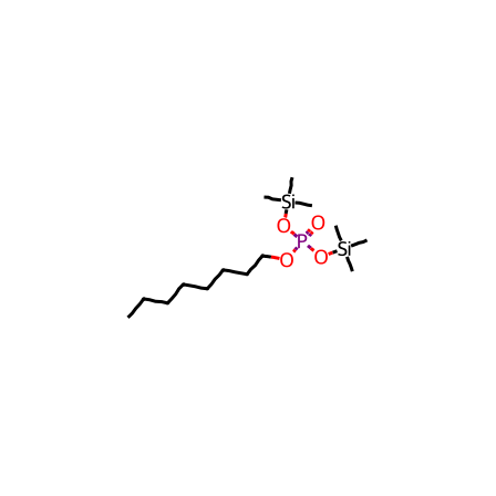 CCCCCCCCOP(=O)(O[Si](C)(C)C)O[Si](C)(C)C